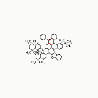 CC(C)(C)c1ccc(N2c3cc(N(c4ccccc4)c4ccccc4)cc4c3B(c3ccc5c6c3N4c3ccc4c(c3C6(C)CCC5(C)C)C(C)(C)CCC4(C)C)c3oc4ccccc4c32)c(-c2ccccc2)c1